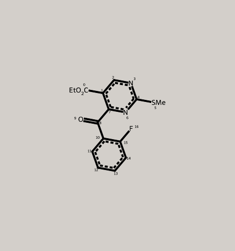 CCOC(=O)c1cnc(SC)nc1C(=O)c1ccccc1F